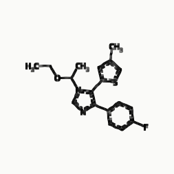 CCOC(C)n1cnc(-c2ccc(F)cc2)c1-c1cc(C)cs1